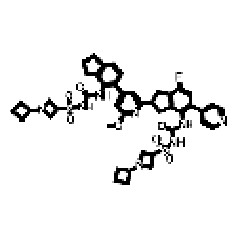 COc1cc(-c2ccc3c(c2NC(=O)NS(=O)(=O)C2CN(C4CCC4)C2)CCC3)cc(C2Cc3c(F)cc(-c4ccncc4)c(NC(=O)NS(=O)(=O)C4CN(C5CCC5)C4)c3C2)n1